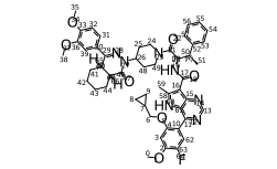 COc1cc(OCC2CC2)c(-c2ncnc3c(C(=O)N[C@@H](C(=O)N4CCC(N5N=C(c6ccc(OC)c(OC)c6)[C@H]6CCCC[C@H]6C5=O)CC4)[C@H](C)c4ccccc4)c(C)[nH]c23)cc1F